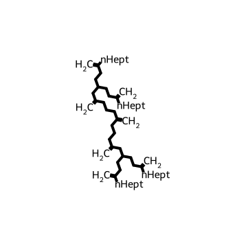 C=C(CCCC(=C)CC(CCC(=C)CCCCCCC)CCC(=C)CCCCCCC)CCCC(=C)CC(CCC(=C)CCCCCCC)CCC(=C)CCCCCCC